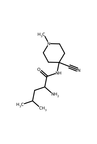 CC(C)CC(N)C(=O)NC1(C#N)CCN(C)CC1